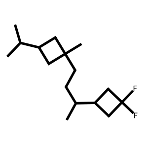 CC(C)C1CC(C)(CCC(C)C2CC(F)(F)C2)C1